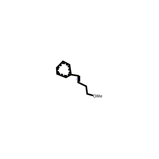 COCC/C=C/c1ccccc1